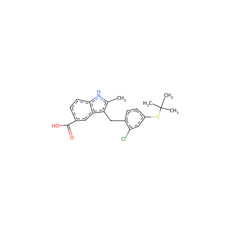 Cc1[nH]c2ccc(C(=O)O)cc2c1Cc1ccc(SC(C)(C)C)cc1Cl